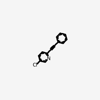 Clc1ccc(C#Cc2ccccc2)nc1